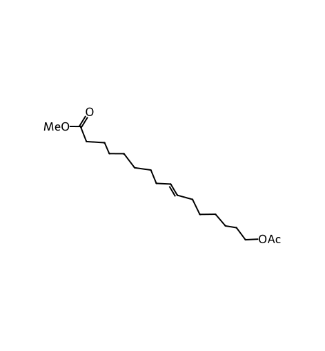 COC(=O)CCCCCCCC=CCCCCCCOC(C)=O